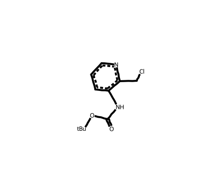 CC(C)(C)OC(=O)Nc1cccnc1CCl